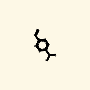 C=Cc1ccc(C(C)C)cc1